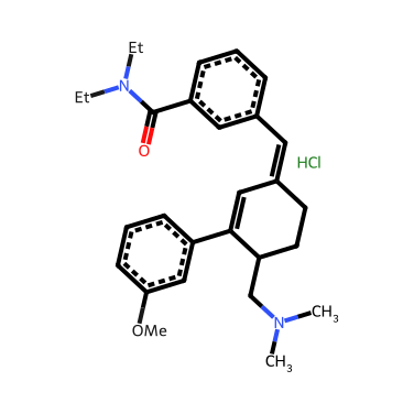 CCN(CC)C(=O)c1cccc(/C=C2\C=C(c3cccc(OC)c3)C(CN(C)C)CC2)c1.Cl